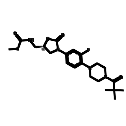 CSC(=O)NC[C@H]1CN(c2ccc(N3CCN(C(=O)C(C)(C)C)CC3)c(F)c2)C(=O)O1